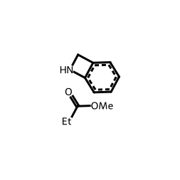 CCC(=O)OC.c1ccc2c(c1)CN2